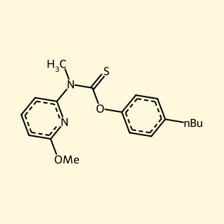 CCCCc1ccc(OC(=S)N(C)c2cccc(OC)n2)cc1